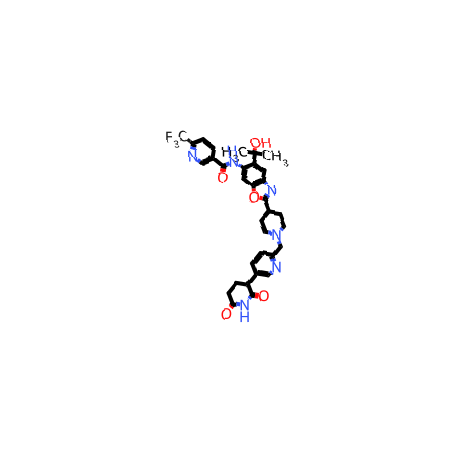 CC(C)(O)c1cc2nc(C3CCN(Cc4ccc(C5CCC(=O)NC5=O)cn4)CC3)oc2cc1NC(=O)c1ccc(C(F)(F)F)nc1